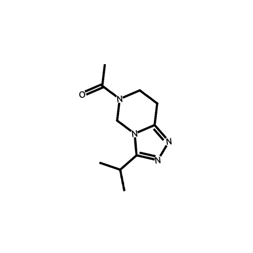 CC(=O)N1CCc2nnc(C(C)C)n2C1